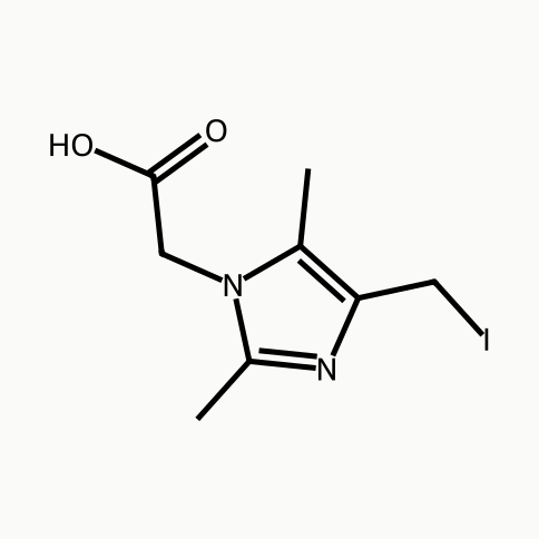 Cc1nc(CI)c(C)n1CC(=O)O